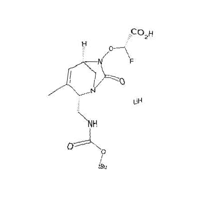 CC1=C[C@@H]2CN(C(=O)N2O[C@@H](F)C(=O)O)[C@@H]1CNC(=O)OC(C)(C)C.[LiH]